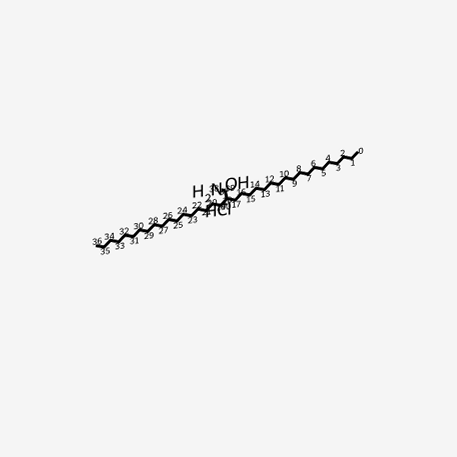 CCCCCCCCCCCCCCCCCCC(CCCCCCCCCCCCCCCCCC)C(N)O.Cl